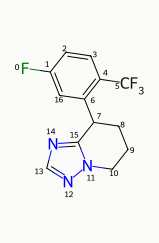 Fc1ccc(C(F)(F)F)c(C2CCCn3ncnc32)c1